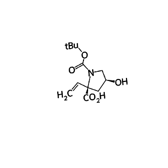 C=C[C@@]1(C(=O)O)C[C@H](O)CN1C(=O)OC(C)(C)C